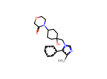 CCOC(=O)c1ncn(CC2(O)CCC(N3CCOCC3=O)CC2)c1-c1ccccc1